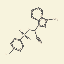 Cc1ccc(S(=O)(=O)OC(C#N)c2nn(C)c3ccccc23)cc1